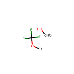 CCOC(F)(F)F.O=CO